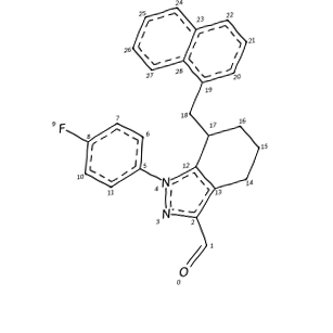 O=Cc1nn(-c2ccc(F)cc2)c2c1CCCC2Cc1cccc2ccccc12